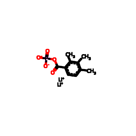 Cc1ccc(C(=O)OP(=O)([O-])[O-])c(C)c1C.[Li+].[Li+]